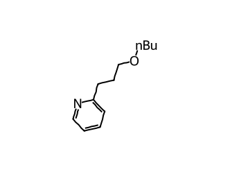 CCCCOCCCc1ccccn1